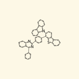 c1ccc(-c2nc(-c3ccc(-c4c(-n5c6ccccc6c6ccccc65)ccc5c4sc4ccccc45)cc3)nc3ccccc23)cc1